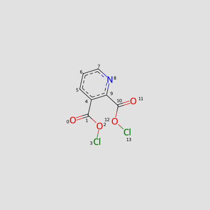 O=C(OCl)c1cccnc1C(=O)OCl